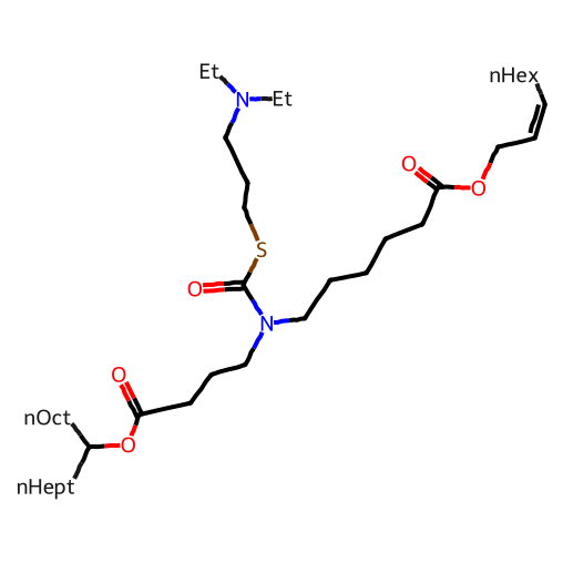 CCCCCC/C=C\COC(=O)CCCCCN(CCCC(=O)OC(CCCCCCC)CCCCCCCC)C(=O)SCCCN(CC)CC